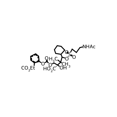 CCOC(=O)c1ccccc1OC(=O)OC[C@@](O)(C(=O)O)C(C)(C)C(OS(=O)(=O)CCCNC(C)=O)C1CCCCC1